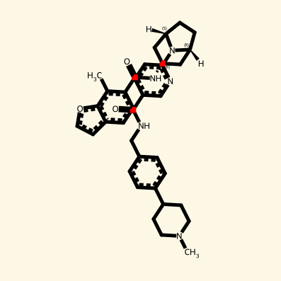 Cc1c(C(=O)N[C@H]2C[C@H]3CC[C@@H](C2)N3c2ccc(C(=O)NCc3ccc(C4CCN(C)CC4)cc3)cn2)ccc2ccoc12